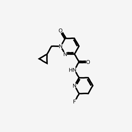 O=C(NC1=NC(F)CC=C1)c1ccc(=O)n(CC2CC2)n1